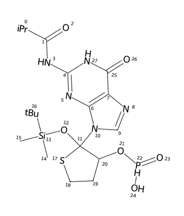 CC(C)C(=O)Nc1nc2c(ncn2C2(O[Si](C)(C)C(C)(C)C)SCCC2O[PH](=O)O)c(=O)[nH]1